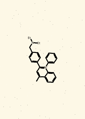 CCN(CC)Cc1ccc(-c2cc(C)c3ccccc3[n+]2-c2ccccc2)cc1